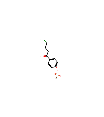 CS(=O)(=O)Oc1ccc(C(=O)CCCCl)cc1